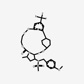 COc1ccc(CN(C2CC(C)N3C(=O)OCCCOc4cc(C(F)(F)F)cc(n4)C4CCC(CC4)OCC23)S(C)(=O)=O)cc1